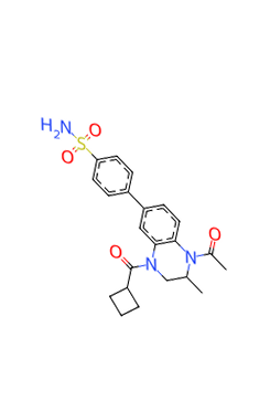 CC(=O)N1c2ccc(-c3ccc(S(N)(=O)=O)cc3)cc2N(C(=O)C2CCC2)CC1C